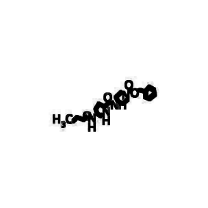 CCCCON[C@@H]1CCC(C(=O)NC2CCN(C(=O)OCc3ccccc3)CC2)NC1